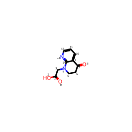 O=C(O)CN1CCC(=O)c2cccnc21